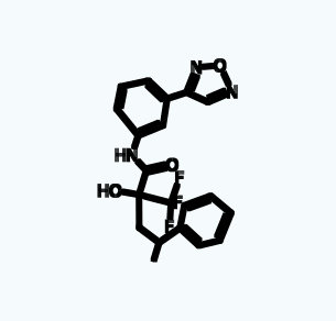 CC(CC(O)(C(=O)Nc1cccc(-c2cnon2)c1)C(F)(F)F)c1ccccc1